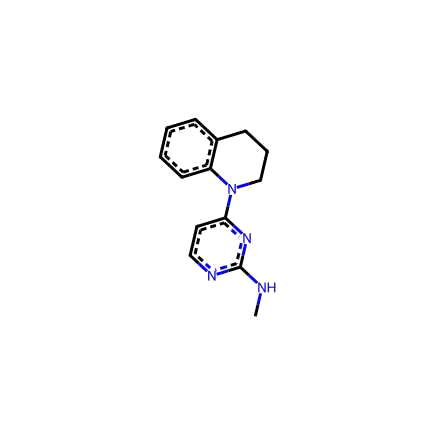 CNc1nccc(N2CCCc3ccccc32)n1